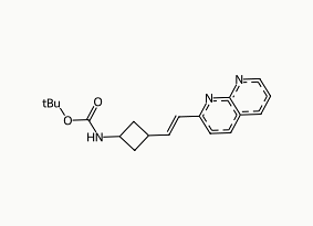 CC(C)(C)OC(=O)NC1CC(/C=C/c2ccc3cccnc3n2)C1